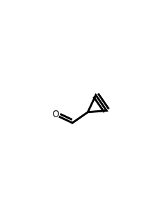 O=CC1C#C1